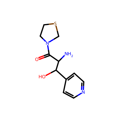 NC(C(=O)N1CCSC1)C(O)c1ccncc1